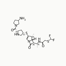 C[C@@H](NC(=O)CSC(F)F)[C@H]1C(=O)N2C=C(S[C@@H]3CN[C@H](C(=O)N4CCC(N)C4)C3)[C@H](C)[C@H]12